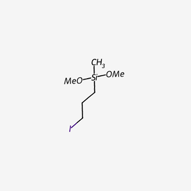 CO[Si](C)(CCCI)OC